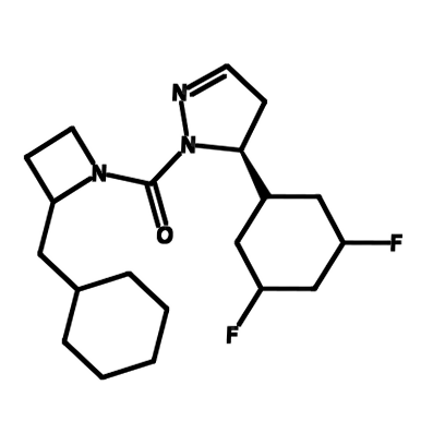 O=C(N1CCC1CC1CCCCC1)N1N=CC[C@H]1C1CC(F)CC(F)C1